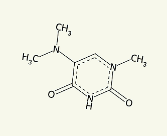 CN(C)c1cn(C)c(=O)[nH]c1=O